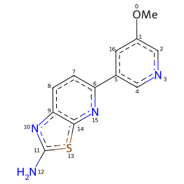 COc1cncc(-c2ccc3nc(N)sc3n2)c1